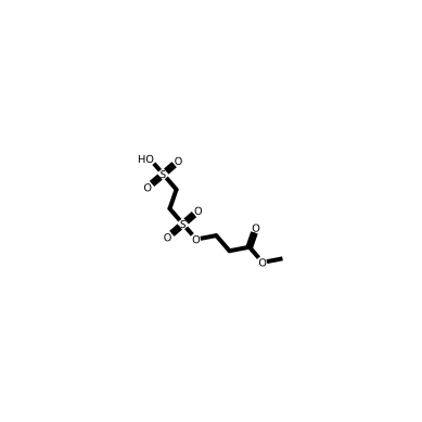 COC(=O)CCOS(=O)(=O)CCS(=O)(=O)O